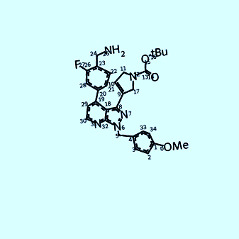 COc1ccc(Cn2nc(C3=CCN(C(=O)OC(C)(C)C)C3)c3c(-c4ccc(CN)c(F)c4)ccnc32)cc1